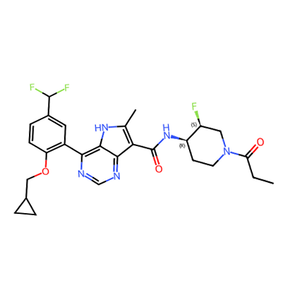 CCC(=O)N1CC[C@@H](NC(=O)c2c(C)[nH]c3c(-c4cc(C(F)F)ccc4OCC4CC4)ncnc23)[C@@H](F)C1